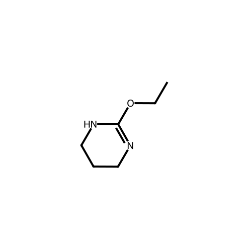 CCOC1=NCCCN1